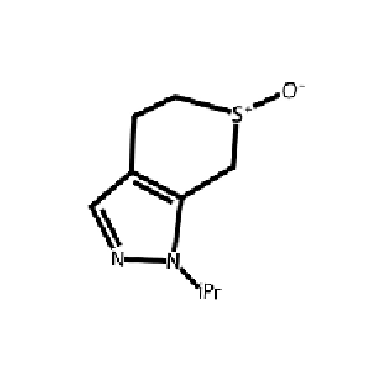 CC(C)n1ncc2c1C[S+]([O-])CC2